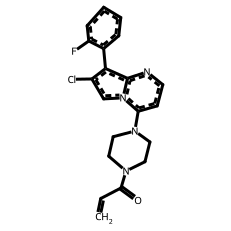 C=CC(=O)N1CCN(c2ccnc3c(-c4ccccc4F)c(Cl)cn23)CC1